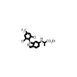 CCOC(=O)C(C)Nc1ccc2cnn(-c3c(Cl)cc(C(F)(F)F)cc3Cl)c2c1